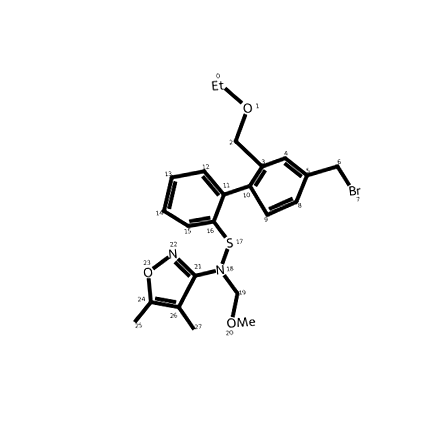 CCOCc1cc(CBr)ccc1-c1ccccc1SN(COC)c1noc(C)c1C